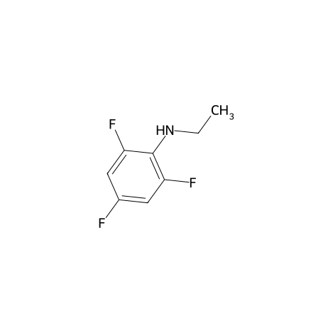 CCNc1c(F)cc(F)cc1F